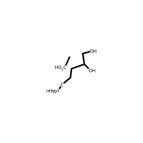 CC(=O)O.CCCCCCCCCCC(O)CO